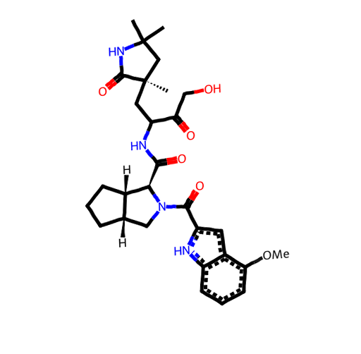 COc1cccc2[nH]c(C(=O)N3C[C@@H]4CCC[C@@H]4[C@H]3C(=O)NC(C[C@]3(C)CC(C)(C)NC3=O)C(=O)CO)cc12